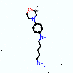 C[C@@H]1CN(c2ccc(NCCCCCN)cc2)CCO1